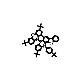 CC(C)(C)c1ccc(N2c3cc(C(C)(C)C)ccc3B3c4c(cc5c(oc6ccccc65)c42)-c2cc(C(C)(C)C)cc4c2N3c2ccc(C(C)(C)C)cc2O4)cc1